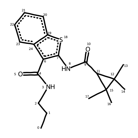 CCCNC(=O)c1c(NC(=O)C2C(C)(C)C2(C)C)sc2ccccc12